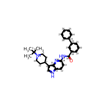 CC(C)(C)N1CCC(c2c[nH]c3ccc(NC(=O)c4cccc(-c5ccccc5)c4)nc23)CC1